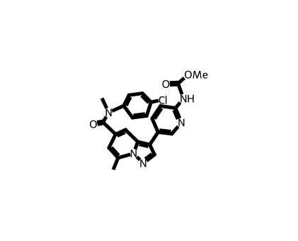 COC(=O)Nc1ccc(-c2cnn3c(C)cc(C(=O)N(C)c4ccc(Cl)cc4)cc23)cn1